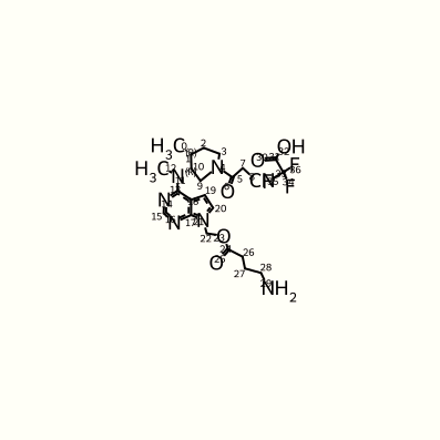 C[C@@H]1CCN(C(=O)CC#N)C[C@@H]1N(C)c1ncnc2c1ccn2COC(=O)CCCN.O=C(O)C(F)(F)F